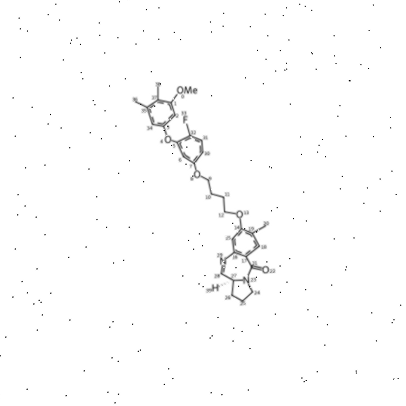 COc1cc(Oc2cc(OCCCCOc3cc4c(cc3C)C(=O)N3CCC[C@H]3C=N4)ccc2F)cc(C)c1C